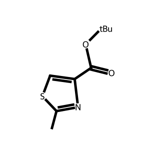 Cc1nc(C(=O)OC(C)(C)C)cs1